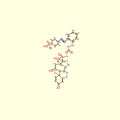 CC12C=CC(=O)C=C1CCC1C2C(O)CC2(C)C1CCC2(O)C(=O)COC(=O)CCc1ccccc1/N=N/c1ccc(S(=O)(=O)O)cc1